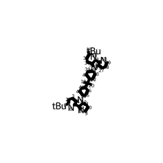 CC(C)(C)c1ccc2c(n1)c1ncccc1n2-c1ccc(C(C)(C)c2ccc(-n3c4cccnc4c4nc(C(C)(C)C)ccc43)cc2)cc1